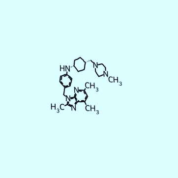 Cc1cc(C)c2nc(C)n(Cc3ccc(N[C@H]4CC[C@@H](CN5CCN(C)CC5)CC4)cc3)c2n1